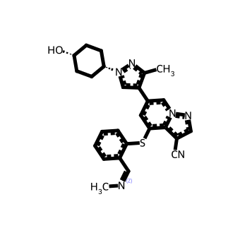 C/N=C\c1ccccc1Sc1cc(-c2cn([C@H]3CC[C@@H](O)CC3)nc2C)cn2ncc(C#N)c12